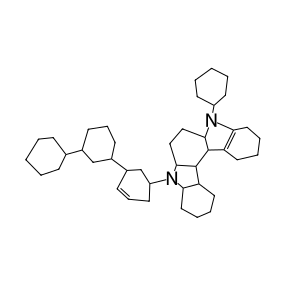 C1=CC(C2CCCC(C3CCCCC3)C2)CC(N2C3CCCCC3C3C4C5=C(CCCC5)N(C5CCCCC5)C4CCC32)C1